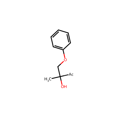 CC(=O)C(C)(O)COc1ccccc1